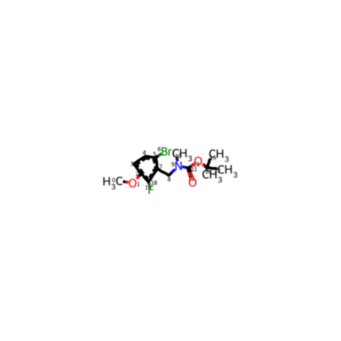 COc1ccc(Br)c(CN(C)C(=O)OC(C)(C)C)c1F